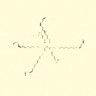 CCCC/C=C\C/C=C\CCCCCCCCOCC(OCCCCCCCC/C=C\C/C=C\CCCCC)C(OC(=O)CCCN(C)C)C(OC(=O)CCCN(C)C)C(COCCCCCCCC/C=C\C/C=C\CCCCC)OCCCCCCCC/C=C\C/C=C\CCCCC